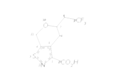 O=C(O)c1nsc2c1CC(CC(F)(F)F)OC2